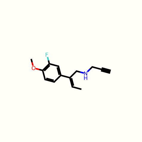 C#CCNCC(=CC)c1ccc(OC)c(F)c1